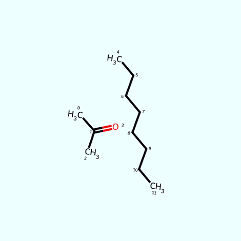 CC(C)=O.CCCCCCCC